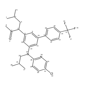 CC(=O)C(CC(C)C)c1cc(-c2ccc(C(F)(F)F)cc2)cc(N(CC(C)C)c2ccc(Cl)cn2)c1